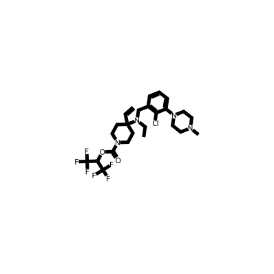 C=CC1(N(CC)Cc2cccc(N3CCN(C)CC3)c2Cl)CCN(C(=O)OC(C(F)(F)F)C(F)(F)F)CC1